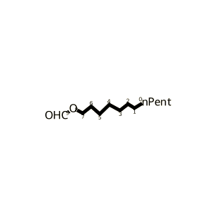 CCCCCCCCCCCCOC=O